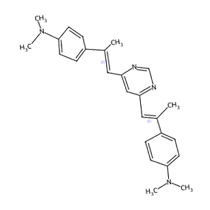 C/C(=C\c1cc(/C=C(\C)c2ccc(N(C)C)cc2)ncn1)c1ccc(N(C)C)cc1